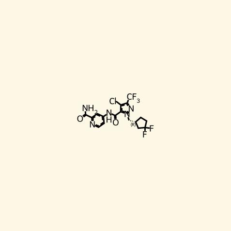 NC(=O)c1cc(NC(=O)c2c(Cl)c(C(F)(F)F)nn2C[C@@H]2CCC(F)(F)C2)ccn1